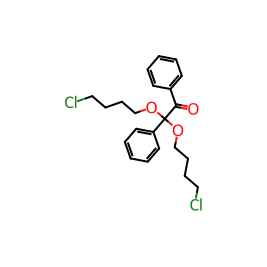 O=C(c1ccccc1)C(OCCCCCl)(OCCCCCl)c1ccccc1